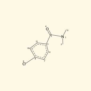 CN(C)C(=O)c1c[c]c(Cl)cc1